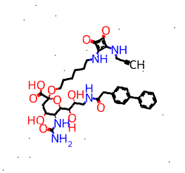 C#CCNc1c(NCCCCCCO[C@]2(C(=O)O)C[C@H](O)[C@@H](NC(N)=O)[C@H]([C@H](O)[C@H](O)CNC(=O)Cc3ccc(-c4ccccc4)cc3)O2)c(=O)c1=O